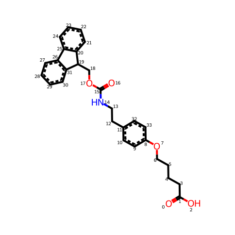 O=C(O)CCCCOc1ccc(CCNC(=O)OCC2c3ccccc3-c3ccccc32)cc1